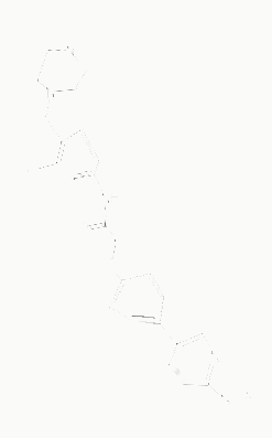 CC(=O)Nc1ccc(-c2ccc(OCC(=O)Nc3ccc(CN4CCNCC4)c(C(F)(F)F)c3)cc2)cn1